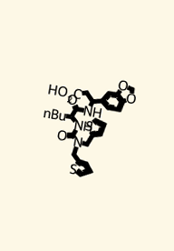 CCCCC(NC(=O)N(Cc1cccs1)Cc1cccs1)C(=O)NC(CC(=O)O)c1ccc2c(c1)OCO2